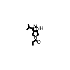 CCC(=O)N1Cc2[nH]nc(C(C)C)c2C1